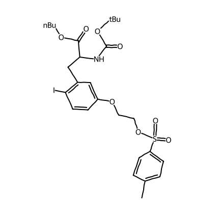 CCCCOC(=O)C(Cc1cc(OCCOS(=O)(=O)c2ccc(C)cc2)ccc1I)NC(=O)OC(C)(C)C